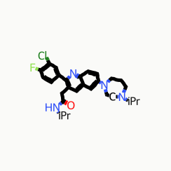 CC(C)NC(=O)Cc1cc2cc(N3CCCN(C(C)C)CC3)ccc2nc1-c1ccc(F)c(Cl)c1